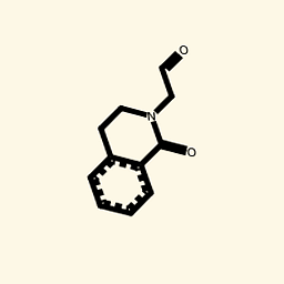 O=CCN1CCc2ccccc2C1=O